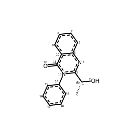 C[C@@H](O)c1nc2ccccc2c(=O)n1-c1ccccc1